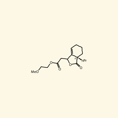 CCC[C@]12CCCC=C1C(CC(=O)OCCOC)OC2=O